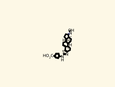 C[C@]12CCc3nc(Nc4ccc(C(=O)O)cc4)sc3C1=CC[C@@H]1[C@@H]2CC[C@]2(C)/C(=N/O)CC[C@@H]12